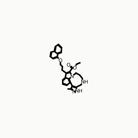 CCOC(=O)c1c(CCCOc2cccc3ccccc23)c2cccc3c2n1CCCNCc1[nH]nc(C)c1-3